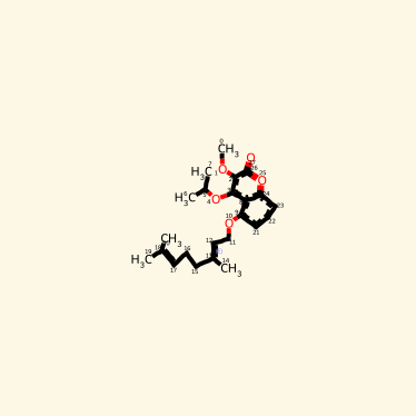 COc1c(OC(C)C)c2c(OC/C=C(\C)CCC=C(C)C)cccc2oc1=O